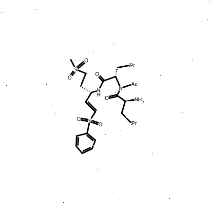 CC(=O)N(C(=O)[C@@H](N)CC(C)C)[C@@H](CC(C)C)C(=O)N[C@H](/C=C/S(=O)(=O)c1ccccc1)CCS(C)(=O)=O